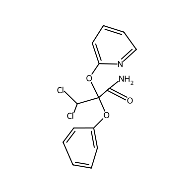 NC(=O)C(Oc1ccccc1)(Oc1ccccn1)C(Cl)Cl